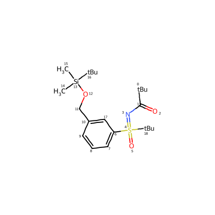 CC(C)(C)C(=O)N=S(=O)(c1cccc(CO[Si](C)(C)C(C)(C)C)c1)C(C)(C)C